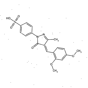 COc1ccc(C=C2C(=O)N(c3ccc(S(=O)(=O)O)cc3)N=C2C)c(OC)c1